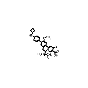 COc1cc2c(cc1-c1ccc(NC3CCC3)nc1)CC(C(C)(C)C)n1cc(C(=O)O)c(=O)cc1-2